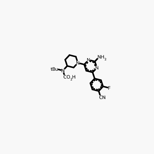 CC(C)(C)N(C(=O)O)C1CCCN(c2cc(-c3ccc(C#N)c(F)c3)nc(N)n2)C1